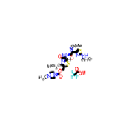 CON=C(C(=O)NC1C(=O)N2C(C(=O)O)=C(COC(=O)N3CCN(C)CC3)CS[C@@H]12)c1csc(NC=O)n1.O=C(O)C(F)(F)F